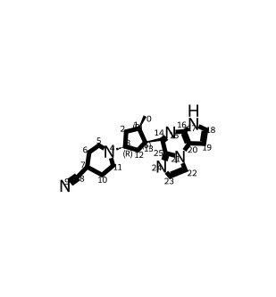 C[C@@H]1C[C@@H](N2CCC(C#N)CC2)C[C@@H]1c1nc2[nH]ccc2n2ccnc12